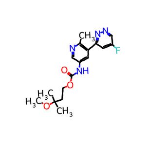 COC(C)(C)CCOC(=O)Nc1cnc(C)c(-c2cc(F)cnn2)c1